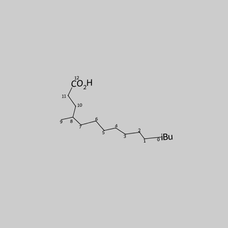 CCC(C)CCCCCCCC(C)CCC(=O)O